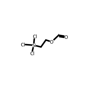 O=[C]OCC[Si](Cl)(Cl)Cl